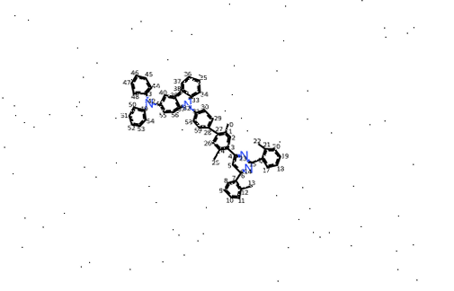 Cc1cc(-c2cc(-c3ccccc3C)nc(-c3ccccc3C)n2)c(C)cc1-c1ccc(-n2c3ccccc3c3cc(N(c4ccccc4)c4ccccc4)ccc32)cc1